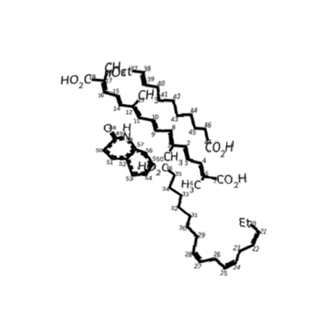 CC(/C=C/C=C(\C)C(=O)O)=C\C=C\C=C(C)\C=C\C=C(/C)C(=O)O.CC/C=C\C/C=C\C/C=C\CCCCCCCC(=O)O.CCCCCCCC/C=C/CCCCCCCC(=O)O.O=c1ccc2ccccc2[nH]1